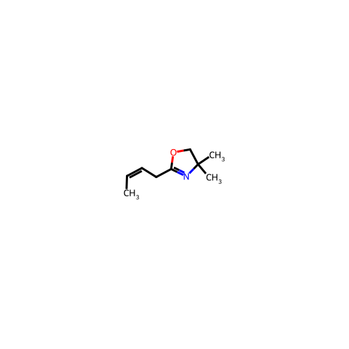 C/C=C\CC1=NC(C)(C)CO1